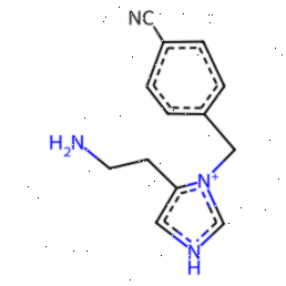 N#Cc1ccc(C[n+]2c[nH]cc2CCN)cc1